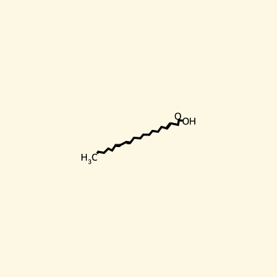 CCCCCC=CC=CCCCCCCCC=CCC(=O)O